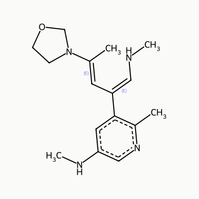 CN/C=C(\C=C(/C)N1CCOC1)c1cc(NC)cnc1C